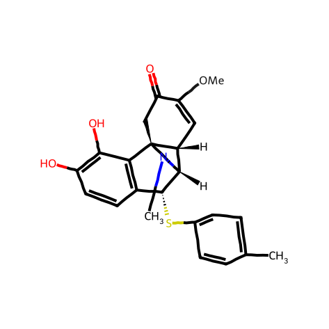 COC1=C[C@@H]2[C@@H]3[C@H](Sc4ccc(C)cc4)c4ccc(O)c(O)c4[C@@]2(CC1=O)CN3C